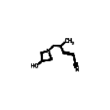 CC(C=CC#N)CN1CC(O)C1